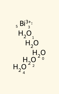 O.O.O.O.O.[Bi+3]